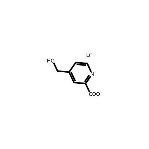 O=C([O-])c1cc(CO)ccn1.[Li+]